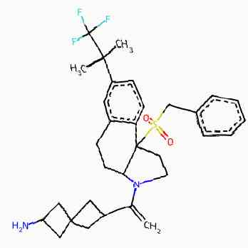 C=C(C1CC2(CC(N)C2)C1)N1CCC2(S(=O)(=O)Cc3ccccc3)c3ccc(C(C)(C)C(F)(F)F)cc3CCC12